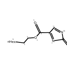 CCCCCCCCOC(=O)C1=NC(=O)N=C1